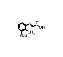 CCCCc1cccc(N=CNO)c1C